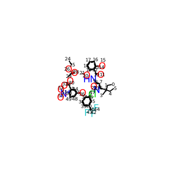 CCC(C)(CC)c1cc(NC(=O)c2c(OC)cccc2OC)on1.CCOC(=O)COC(=O)c1cc(Oc2ccc(C(F)(F)F)cc2Cl)ccc1[N+](=O)[O-]